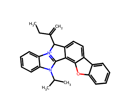 C=C(CC)C1c2ccc3c(oc4ccccc43)c2-c2n(C(C)C)c3ccccc3[n+]21